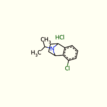 CC(C)N1C2CCC1c1c(Cl)cccc12.Cl